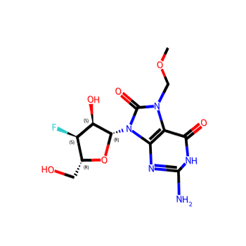 COCn1c(=O)n([C@@H]2O[C@H](CO)[C@@H](F)[C@H]2O)c2nc(N)[nH]c(=O)c21